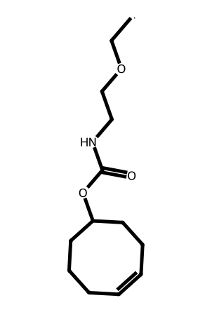 [CH2]COCCNC(=O)OC1CCC=CCCC1